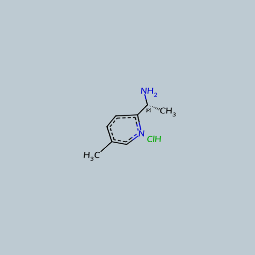 Cc1ccc([C@@H](C)N)nc1.Cl